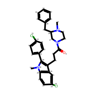 CN1CCN(C(=O)CCc2c(-c3ccc(Cl)cc3)n(C)c3ccc(Cl)cc23)CC1Cc1ccccc1